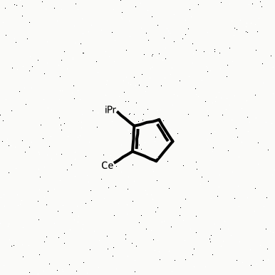 CC(C)C1=[C]([Ce])CC=C1